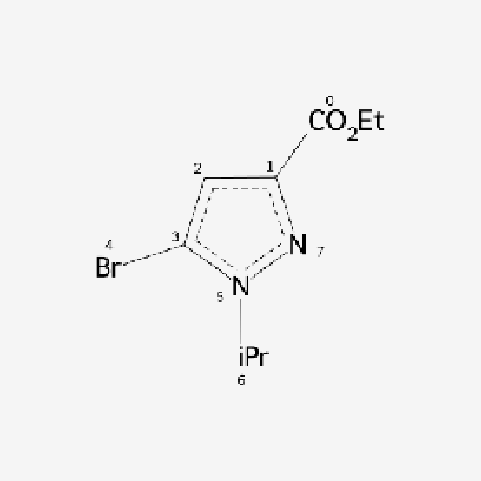 CCOC(=O)c1cc(Br)n(C(C)C)n1